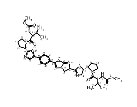 COC(=O)N[C@H](C(=O)N1CCCC1[C@@H]1CN=C(C2CN3C=C(c4ccc(-c5cnc([C@@H]6CCCN6C(=O)[C@@H](NC(=O)OC)C(C)C)[nH]5)cc4)SC3=N2)N1)C(C)C